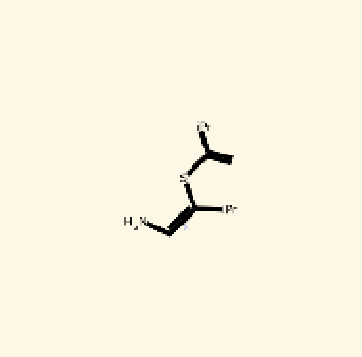 C=C(S/C(=C\N)C(C)C)C(C)C